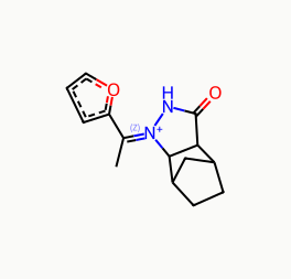 C/C(c1ccco1)=[N+]1/NC(=O)C2C3CCC(C3)C21